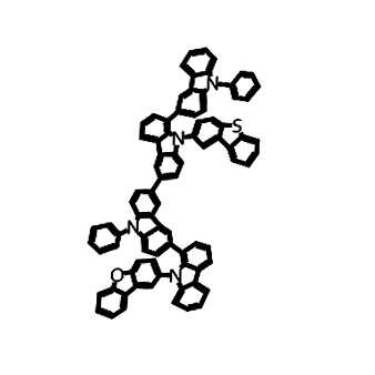 c1ccc(-n2c3ccccc3c3cc(-c4cccc5c6cc(-c7ccc8c(c7)c7cc(-c9cccc%10c%11ccccc%11n(-c%11ccc%12oc%13ccccc%13c%12c%11)c9%10)ccc7n8-c7ccccc7)ccc6n(-c6ccc7sc8ccccc8c7c6)c45)ccc32)cc1